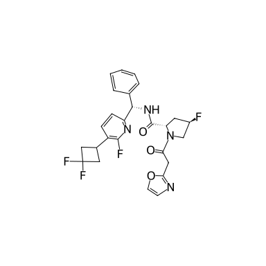 O=C(N[C@@H](c1ccccc1)c1ccc(C2CC(F)(F)C2)c(F)n1)[C@@H]1C[C@@H](F)CN1C(=O)Cc1ncco1